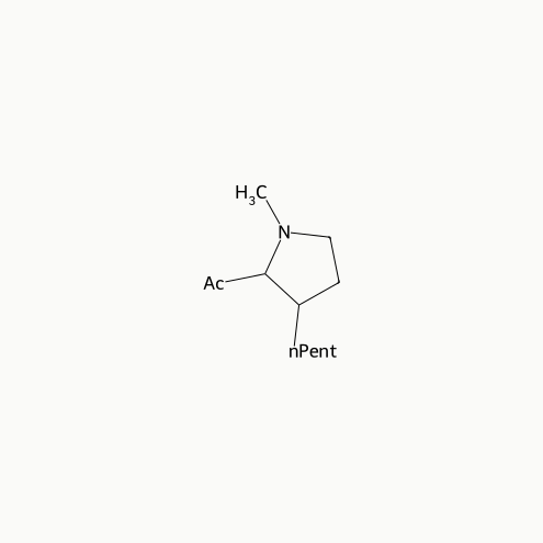 CCCCCC1CCN(C)C1C(C)=O